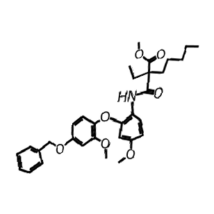 CCCCCC(CC)(C(=O)Nc1ccc(OC)cc1Oc1ccc(OCc2ccccc2)cc1OC)C(=O)OC